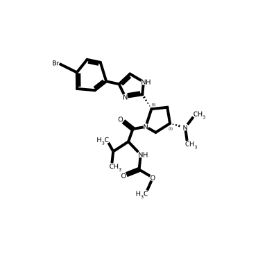 COC(=O)NC(C(=O)N1C[C@@H](N(C)C)C[C@H]1c1nc(-c2ccc(Br)cc2)c[nH]1)C(C)C